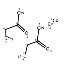 CCC(=O)O.CCC(=O)O.[Co].[Co]